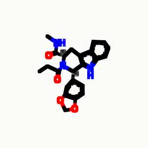 CCC(=O)N1[C@@H](c2ccc3c(c2)OCO3)c2[nH]c3ccccc3c2C[C@H]1C(=O)NC